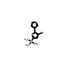 C[Si](C)(C)c1cc(Br)c(-c2ccsc2)s1